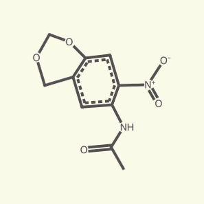 CC(=O)Nc1cc2c(cc1[N+](=O)[O-])OCOC2